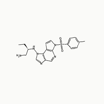 CC[C@H](CN)Nn1cnc2cnc3c(ccn3S(=O)(=O)c3ccc(C)cc3)c21